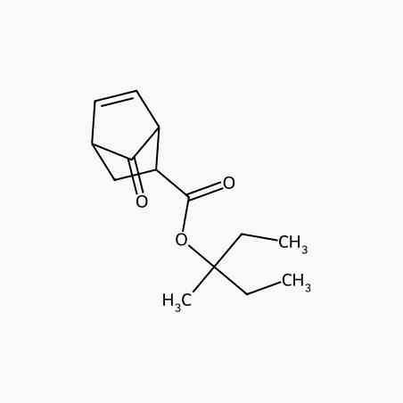 CCC(C)(CC)OC(=O)C1CC2C=CC1C2=O